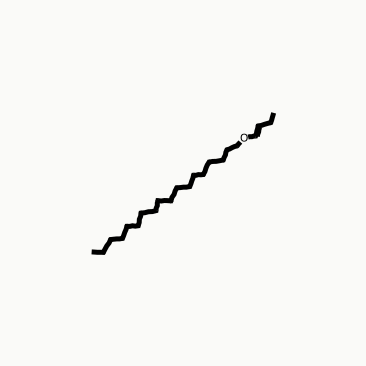 CCC=COCCCCCCCCCCCCCCCCCC